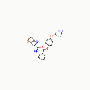 Cn1c(C(=O)Nc2ccccc2COc2ccc(OC3CCCNC3)cc2)cc2sccc21